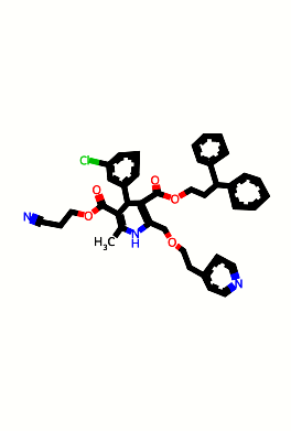 CC1=C(C(=O)OCCC#N)C(c2cccc(Cl)c2)C(C(=O)OCCC(c2ccccc2)c2ccccc2)=C(COCCc2ccncc2)N1